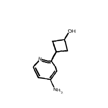 Nc1ccnc(C2CC(O)C2)c1